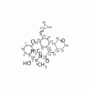 C[C@H]([C@H](O)c1ccccc1)N(C)C(=O)[C@H](CC1CCOCC1)c1ccc(SC2CC2)c(Cl)c1